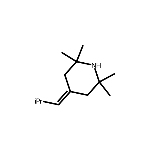 CC(C)C=C1CC(C)(C)NC(C)(C)C1